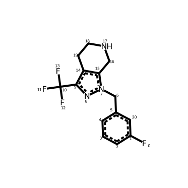 Fc1cccc(Cn2nc(C(F)(F)F)c3c2CNCC3)c1